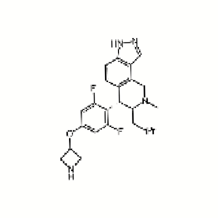 CC(C)C[C@H]1[C@H](c2c(F)cc(OC3CNC3)cc2F)c2ccc3[nH]ncc3c2CN1C